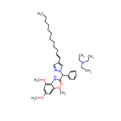 CCCCCCCCCC/C=C/c1cnn(C(C(=O)Nc2c(OC)cc(OC)cc2OC)c2ccccc2)c1.CCN(CC)CC